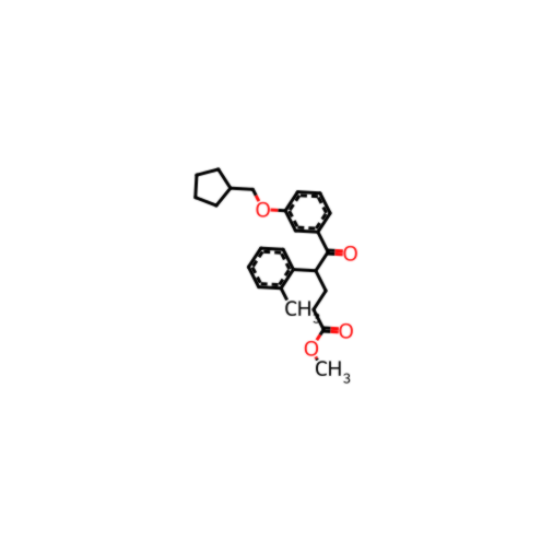 COC(=O)CCC(C(=O)c1cccc(OCC2CCCC2)c1)c1ccccc1C